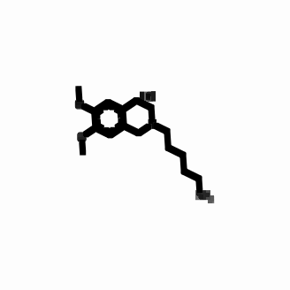 COc1cc2c(cc1OC)CN(CCCCCN)CC2.Cl